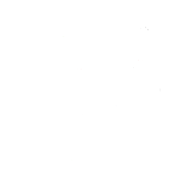 CC(C)C(/C=C/c1ccc(F)cc1)C(=O)OC(C#N)c1ccc(F)c(Oc2ccccc2)c1